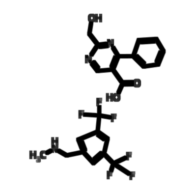 CNCc1cc(C(F)(F)F)cc(C(F)(F)F)c1.O=C(O)c1cnc(CO)nc1-c1ccccc1